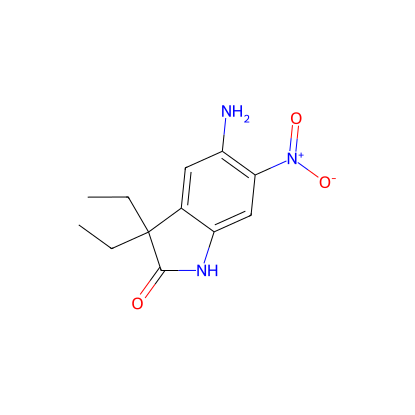 CCC1(CC)C(=O)Nc2cc([N+](=O)[O-])c(N)cc21